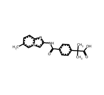 Cc1ccc2nc(NC(=O)c3ccc(C(C)(C)C(=O)O)cc3)cn2c1